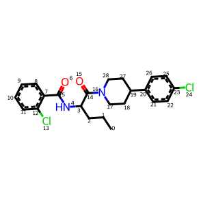 CCCC(NC(=O)c1ccccc1Cl)C(=O)N1CCC(c2ccc(Cl)cc2)CC1